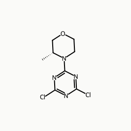 C[C@@H]1COCCN1c1nc(Cl)nc(Cl)n1